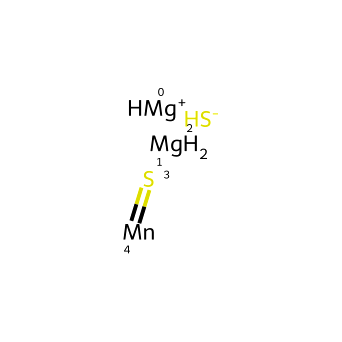 [MgH+].[MgH2].[SH-].[S]=[Mn]